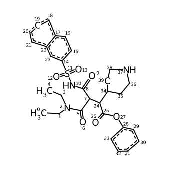 CCN(CC)C(=O)C(C(=O)NS(=O)(=O)c1ccc2ccccc2c1)C(C(=O)Oc1ccccc1)C1CCNCC1